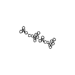 c1ccc2c(c1)oc1c2ccc2c3ccccc3n(-c3ccc4cc(-n5c6ccccc6c6c(-c7cc8c9ccccc9oc8c8c7c7ccccc7n8-c7ccc8cc(-c9ccc(-n%10c%11ccccc%11c%11ccccc%11%10)cc9)ccc8c7)cccc65)ccc4c3)c21